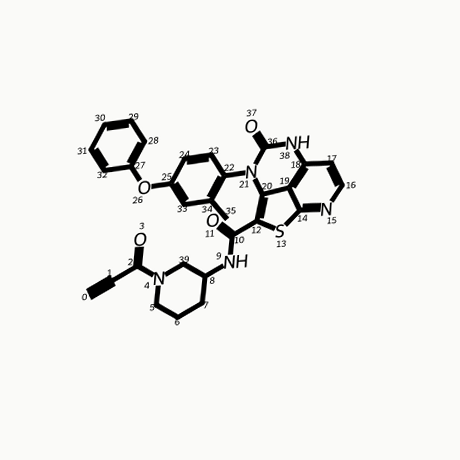 C#CC(=O)N1CCCC(NC(=O)c2sc3nccc4c3c2N(c2ccc(Oc3ccccc3)cc2C)C(=O)N4)C1